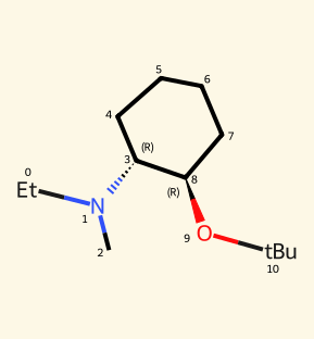 CCN(C)[C@@H]1CCCC[C@H]1OC(C)(C)C